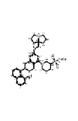 CCc1cccc2cccc(N3CCc4c(nc(OCC56CCCN5CCC6)nc4N4CCCC(S(=O)(=O)NC)C4)C3)c12